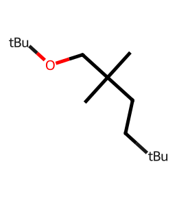 CC(C)(C)CCC(C)(C)COC(C)(C)C